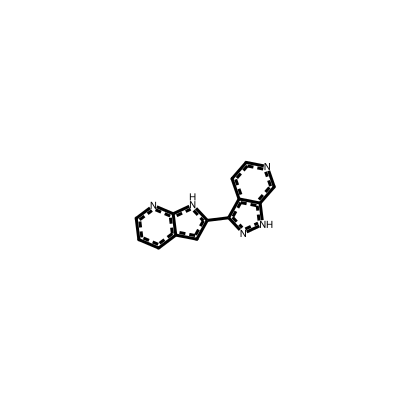 c1cnc2[nH]c(-c3n[nH]c4cnccc34)cc2c1